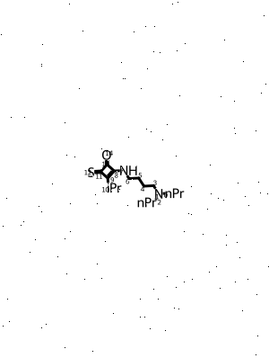 CCCN(CCC)CCCCNc1c(C(C)C)c(=S)c1=O